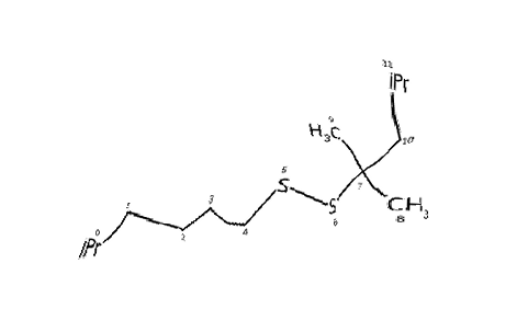 CC(C)CCCCSSC(C)(C)CC(C)C